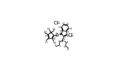 CCCP(CCC)C1=Cc2ccccc2[CH]1[Zr+2][C]1=C(C)C(C)=C(C)C1(C)C.[Cl-].[Cl-]